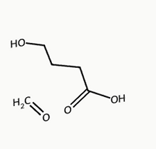 C=O.O=C(O)CCCO